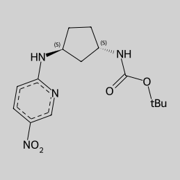 CC(C)(C)OC(=O)N[C@H]1CC[C@H](Nc2ccc([N+](=O)[O-])cn2)C1